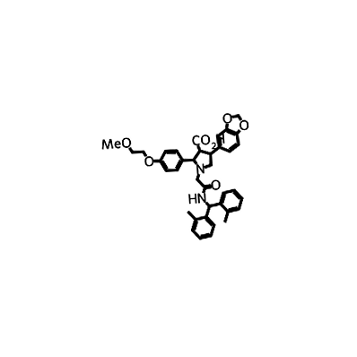 COCCOc1ccc(C2C(C(=O)O)C(c3ccc4c(c3)OCO4)CN2CC(=O)NC(c2ccccc2C)c2ccccc2C)cc1